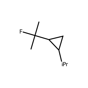 CC(C)C1CC1C(C)(C)F